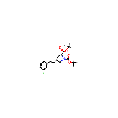 CC(C)(C)OC(=O)[C@@H]1C[C@H](CCc2cccc(Cl)c2)CN1C(=O)OC(C)(C)C